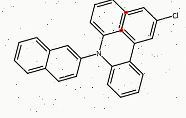 Clc1cccc(-c2ccccc2N(c2ccccc2)c2ccc3ccccc3c2)c1